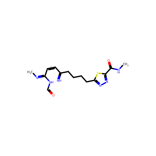 C/N=C(\C=C/C(=N)CCCCc1nnc(C(=O)NC)s1)NC=O